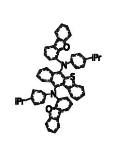 CC(C)c1ccc(N(c2cccc3c2oc2ccccc23)c2c3ccccc3c(N(c3ccc(C(C)C)cc3)c3cccc4c3oc3ccccc34)c3c2sc2ccccc23)cc1